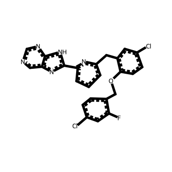 Fc1cc(Cl)ccc1COc1ccc(Cl)cc1Cc1cccc(-c2nc3cncnc3[nH]2)n1